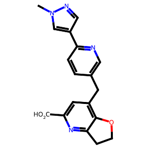 Cn1cc(-c2ccc(Cc3cc(C(=O)O)nc4c3OCC4)cn2)cn1